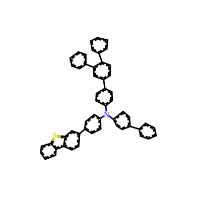 c1ccc(-c2ccc(N(c3ccc(-c4ccc(-c5ccccc5)c(-c5ccccc5)c4)cc3)c3ccc(-c4ccc5c(c4)sc4ccccc45)cc3)cc2)cc1